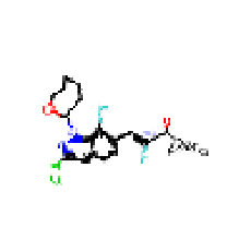 COC(=O)/C(F)=C/c1ccc2c(Cl)nn(C3CCCCO3)c2c1F